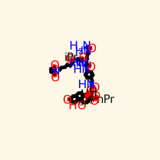 CCCC1O[C@@H]2CC3[C@@H]4CCC5=CC(=O)C=C[C@]5(C)C4[C@@H](O)C[C@]3(C)[C@]2(C(=O)COC(=O)NCc2ccc(NC(=O)[C@H](CCCNC(N)=O)NC(=O)[C@@H](NC(=O)CCCCCN3C(=O)C=CC3=O)C(C)C)cc2)O1